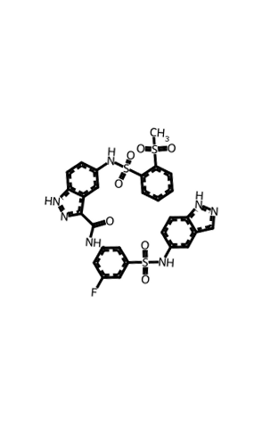 CS(=O)(=O)c1ccccc1S(=O)(=O)Nc1ccc2[nH]nc(C(N)=O)c2c1.O=S(=O)(Nc1ccc2[nH]ncc2c1)c1cccc(F)c1